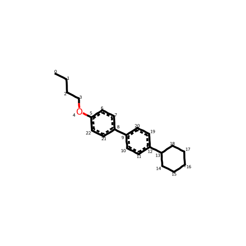 CCCCOc1ccc(-c2ccc(C3CC[CH]CC3)cc2)cc1